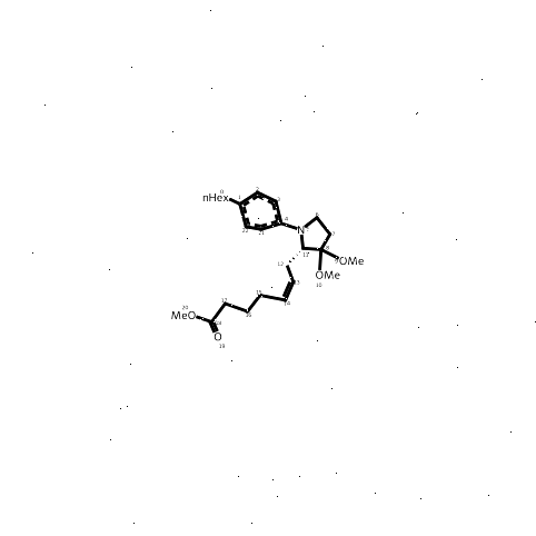 CCCCCCc1ccc(N2CCC(OC)(OC)[C@@H]2C/C=C\CCCC(=O)OC)cc1